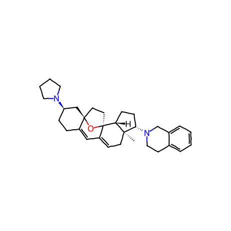 C[C@]12CC=C3C=C4CC[C@@H](N5CCCC5)C[C@]45CC[C@]3(O5)[C@@H]1CC[C@@H]2N1CCc2ccccc2C1